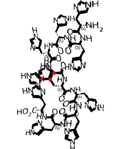 N[C@@H](Cc1c[nH]cn1)C(=O)N[C@@H](Cc1c[nH]cn1)C(=O)N[C@@H](Cc1c[nH]cn1)C(=O)N[C@@H](Cc1c[nH]cn1)C(=O)N[C@@H](Cc1c[nH]cn1)C(=O)N[C@@H](Cc1c[nH]cn1)C(=O)N[C@@H](Cc1c[nH]cn1)C(=O)N[C@@H](Cc1c[nH]cn1)C(=O)N[C@@H](Cc1c[nH]cn1)C(=O)N[C@@H](Cc1c[nH]cn1)C(=O)O